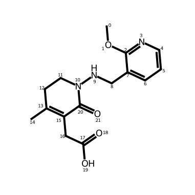 COc1ncccc1CNN1CCC(C)=C(CC(=O)O)C1=O